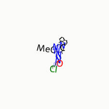 COC1=N/CCN(c2cccc3cccc(C)c23)CCC(C)/C(N2CCN(C(=O)/C=C/CCl)CC2)=N\1